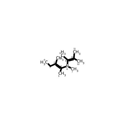 CC/C(C)=C(\C)N(C)C(C)=C(C)C